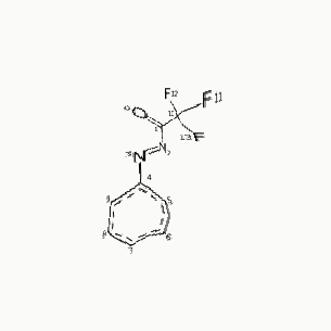 O=C(N=Nc1ccccc1)C(F)(F)F